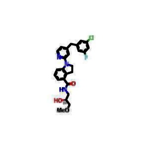 COC[C@@H](O)CNC(=O)c1cccc2c1CCN2c1cc(Cc2cc(F)cc(Cl)c2)ccn1